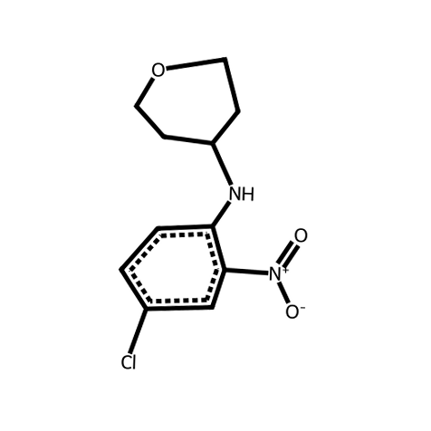 O=[N+]([O-])c1cc(Cl)ccc1NC1CCOCC1